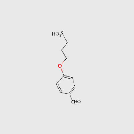 O=Cc1ccc(OCCCS(=O)(=O)O)cc1